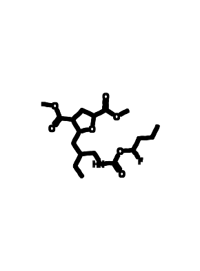 CCCC(F)OC(=O)NCC(CC)CC1OC(C(=O)OC)CC1C(=O)OC